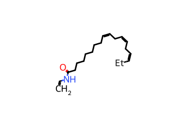 C=CNC(=O)CCCCCCC/C=C\C/C=C\C/C=C\CC